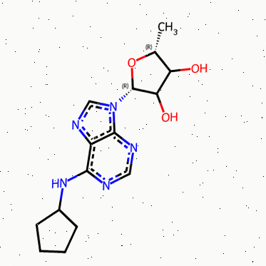 C[C@H]1O[C@@H](n2cnc3c(NC4CCCC4)ncnc32)C(O)C1O